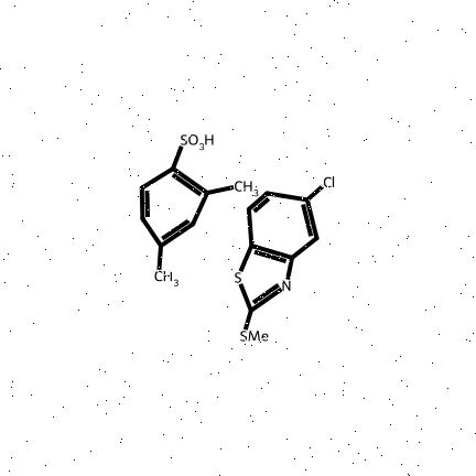 CSc1nc2cc(Cl)ccc2s1.Cc1ccc(S(=O)(=O)O)c(C)c1